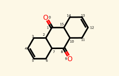 O=C1C2CC=CCC2C(=O)C2CC=CCC12